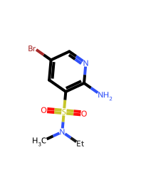 CCN(C)S(=O)(=O)c1cc(Br)cnc1N